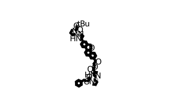 CC(C)(C)OC(=O)N1CCC[C@H]1c1ncc(-c2ccc3c(c2)COc2c-3ccc3cc(C(=O)COC(=O)c4cnc([C@@H]5CCCN5C(=O)OCc5ccccc5)[nH]4)ccc23)[nH]1